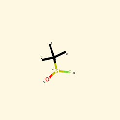 CC(C)(C)[S+]([O-])F